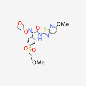 COCCCS(=O)(=O)c1ccc(/C(=N\O[C@@H]2CCOC2)C(=O)Nc2nc3ccc(OC)nc3s2)cc1